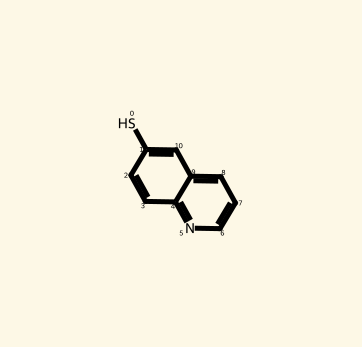 Sc1ccc2ncccc2c1